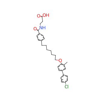 Cc1cc(-c2ccc(Cl)cc2)ccc1OCCCCCCCc1ccc(C(=O)NCCC(=O)O)cc1